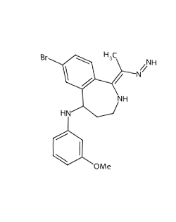 COc1cccc(NC2CCN/C(=C(/C)N=N)c3ccc(Br)cc32)c1